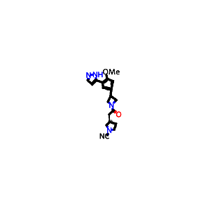 COc1ccc(C2CN(C(=O)C[C@H]3CCN(C#N)C3)C2)cc1-c1ccn[nH]1